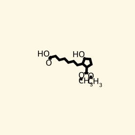 COC(OC)C1CCC(O)C1CCCCCCC(=O)O